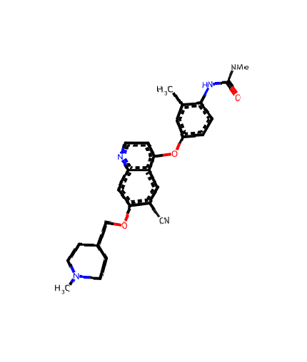 CNC(=O)Nc1ccc(Oc2ccnc3cc(OCC4CCN(C)CC4)c(C#N)cc23)cc1C